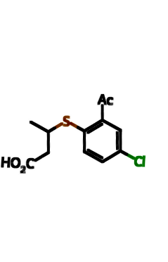 CC(=O)c1cc(Cl)ccc1SC(C)CC(=O)O